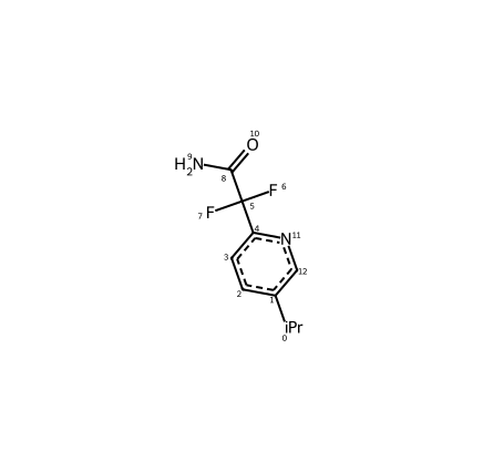 CC(C)c1ccc(C(F)(F)C(N)=O)nc1